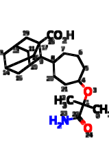 CC(C)(OC1CCCC(C2C3CC4CC(C3)CC2(C(=O)O)C4)CC1)C(N)=O